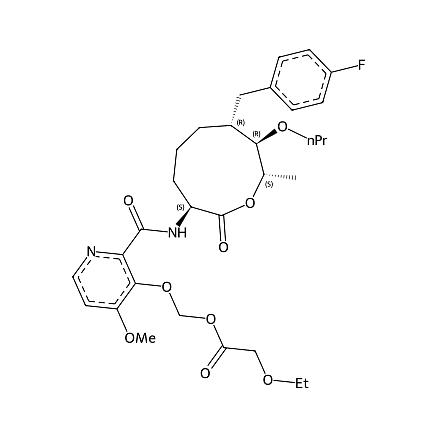 CCCO[C@@H]1[C@@H](Cc2ccc(F)cc2)CCC[C@H](NC(=O)c2nccc(OC)c2OCOC(=O)COCC)C(=O)O[C@H]1C